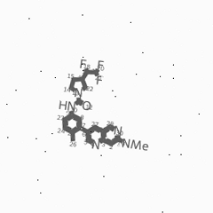 CNc1cc2ncc(-c3cc(NC(=O)N4CCC(C(F)C(F)F)C4)ccc3C)cc2cn1